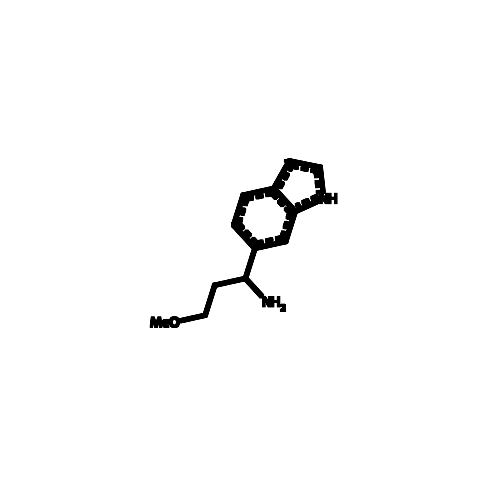 COCCC(N)c1ccc2[c]c[nH]c2c1